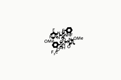 COc1ncc(F)c2nc(S(=O)(=O)Nc3c(F)cccc3F)nn12.COc1nn(C(=O)NS(=O)(=O)c2ccccc2OC(F)(F)F)c(=O)n1C